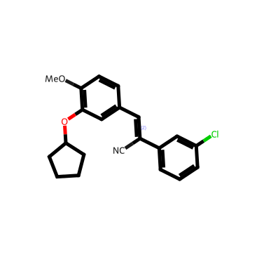 COc1ccc(/C=C(\C#N)c2cccc(Cl)c2)cc1OC1CCCC1